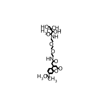 CN(C)c1ccc2c(CC(=O)NCCOCCOCCNC(=O)C(O)C(C)(C)CO)cc(=O)oc2c1